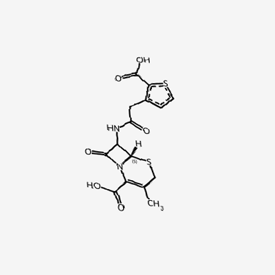 CC1=C(C(=O)O)N2C(=O)C(NC(=O)Cc3ccsc3C(=O)O)[C@@H]2SC1